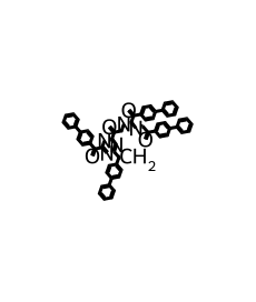 C=C(c1ccc(-c2ccccc2)cc1)c1nc(C(=O)C/N=C(\N=C\C(=O)c2ccc(-c3ccccc3)cc2)C(=O)c2ccc(-c3ccccc3)cc2)nc(C(=O)c2ccc(-c3ccccc3)cc2)n1